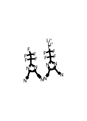 N#Cc1nc(C(F)(F)C(F)(F)F)[n-]c1C#N.N#Cc1nc(C(F)(F)C(F)(F)F)[n-]c1C#N.[Li+].[Li+]